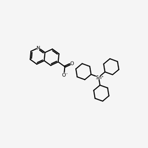 C1CC[CH]([Sn+]([CH]2CCCCC2)[CH]2CCCCC2)CC1.O=C([O-])c1ccc2ncccc2c1